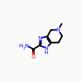 CN1CCc2[nH]c(C(N)=O)nc2C1